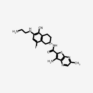 Cc1cnc2c(N)c(C(=O)N[C@H]3CCc4c(C#N)c(NCCN)cc(F)c4C3)sc2n1